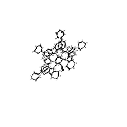 C#Cc1c(-n2c3c(c4c2C=CCC4)CCC=C3)c(-n2c3c(c4c2C=CC(C2C=CC=CC2)C4)CC(C2=CCCC=C2)C=C3)c(-n2c3ccccc3c3ccccc32)c(-n2c3c(c4cc(-c5ccccc5)ccc42)CC(C2=CCCC=C2)C=C3)c1-n1c2c(c3c1C=CCC3)CCC=C2